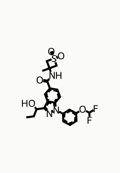 CCC(O)c1nn(-c2cccc(OC(F)F)c2)c2ccc(C(=O)NC3(C)CS(=O)(=O)C3)cc12